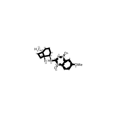 COc1ccc2c(c1)[n+]([O-])nc(N[C@@H]1CCC[C@]3(C)CC[C@@H]13)[n+]2[O-]